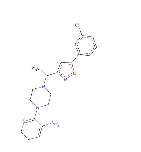 CC(c1cc(-c2cccc(Cl)c2)on1)N1CCN(C2=NCCC=C2N)CC1